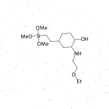 CCOCCNC1CC(CC[Si](OC)(OC)OC)CCC1O